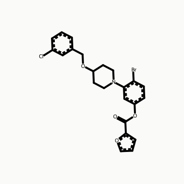 O=C(Oc1ccc(Br)c(N2CCC(OCc3cccc(Cl)c3)CC2)c1)c1ccco1